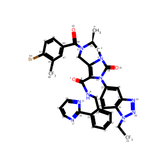 C[C@H]1Cn2c(c(C(=O)NCc3ccccc3-c3ncccn3)n(-c3ccc4c(c3)nnn4CC(F)(F)F)c2=O)CN1C(=O)c1ccc(Br)c(C(F)(F)F)c1